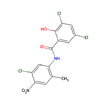 Cc1cc([N+](=O)[O-])c(Cl)cc1NC(=O)c1cc(Cl)cc(Cl)c1O